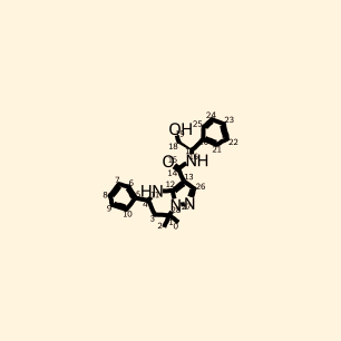 CC1(C)CC(c2ccccc2)Nc2c(C(=O)N[C@@H](CO)c3ccccc3)cnn21